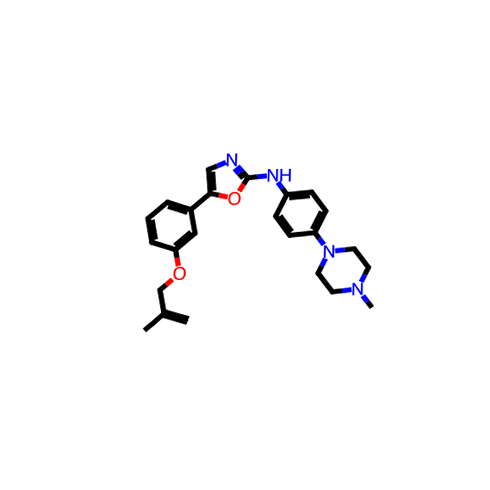 C=C(C)COc1cccc(-c2cnc(Nc3ccc(N4CCN(C)CC4)cc3)o2)c1